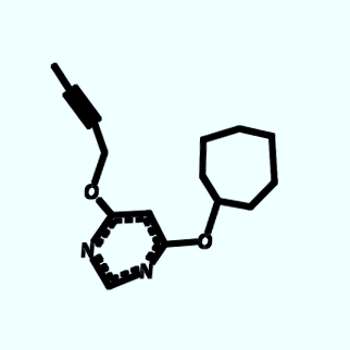 CC#CCOc1cc(OC2CCCCCC2)ncn1